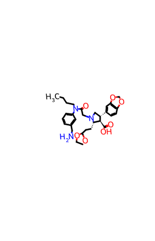 CCCCN(C(=O)CN1C[C@H](c2ccc3c(c2)OCO3)[C@@H](C(=O)O)[C@@H]1CCC1OCCO1)c1cccc(CN)c1